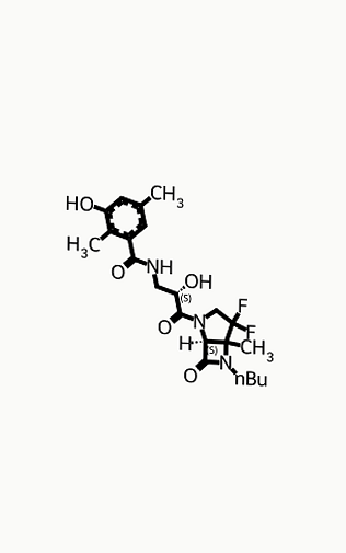 CCCCN1C(=O)[C@H]2N(C(=O)[C@@H](O)CNC(=O)c3cc(C)cc(O)c3C)CC(F)(F)C21C